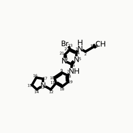 C#CCNc1nc(Nc2ccc(CN3CCCC3)cc2)ncc1Br